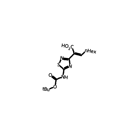 CCCCCC/C=C(\C(=O)O)c1nsc(NC(=O)OC(C)(C)C)n1